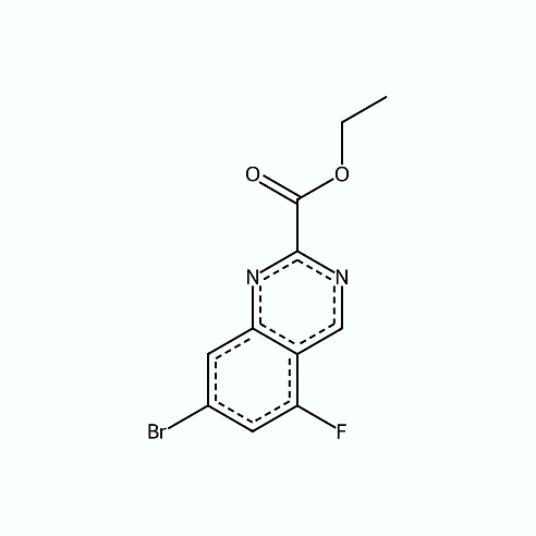 CCOC(=O)c1ncc2c(F)cc(Br)cc2n1